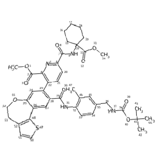 COC(=O)c1nc(C(=O)NC2(C(=O)OC)CCCCC2)ccc1-c1cc2c(cc1C(=O)Nc1ccc(CNC(=O)OC(C)(C)C)cc1C)-c1sccc1CCO2